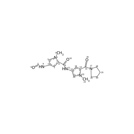 Cn1cc(NC=O)cc1C(=O)Nc1cc(C(=O)N2CCCC2)n(C)c1